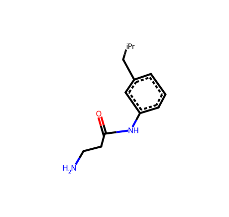 CC(C)Cc1cccc(NC(=O)CCN)c1